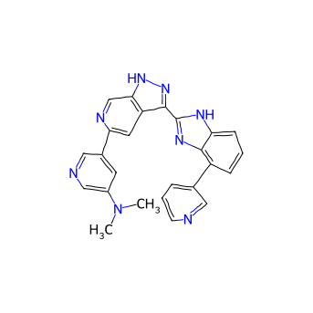 CN(C)c1cncc(-c2cc3c(-c4nc5c(-c6cccnc6)cccc5[nH]4)n[nH]c3cn2)c1